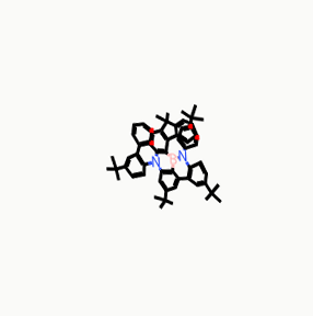 CC(C)(C)c1ccc(N2B3c4c(cc(C(C)(C)C)cc4N(c4ccc(C(C)(C)C)cc4-c4ccccc4)c4ccc5c(c43)-c3ccccc3C5(C)C)-c3cc(C(C)(C)C)ccc32)cc1